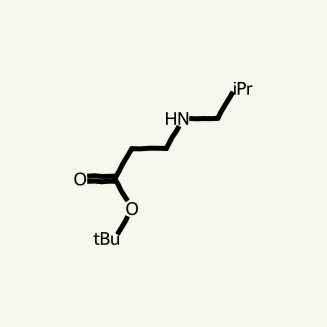 CC(C)CNCCC(=O)OC(C)(C)C